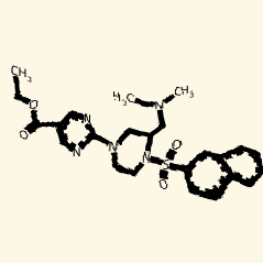 CCOC(=O)c1cnc(N2CCN(S(=O)(=O)c3ccc4ccccc4c3)C(CN(C)C)C2)nc1